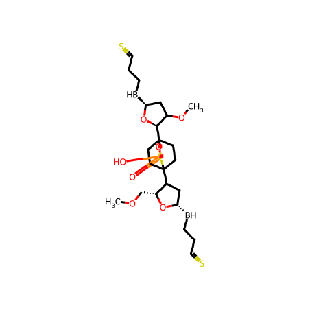 COC[C@H]1O[C@@H](BCCC=S)CC1C12CCC([C@H]3O[C@@H](BCCC=S)CC3OC)(CC1)COP(=O)(O)S2